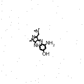 CN(C)CC1=NN(C)C(=N)C1=Nc1ccc(O)cc1N